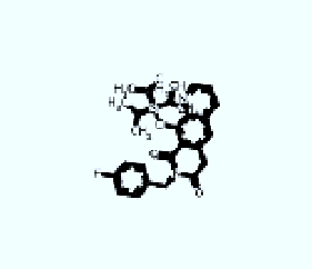 CC(C)[Si](Oc1c2c(cc3cccnc13)CC(=O)N(Cc1ccc(F)cc1)C2=O)(C(C)C)C(C)C